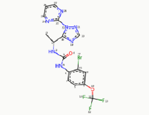 CC(NC(=O)Nc1ccc(OC(F)(F)F)cc1Br)c1ncnn1-c1ncccn1